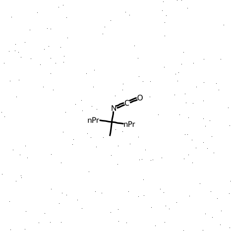 CCCC(C)(CCC)N=C=O